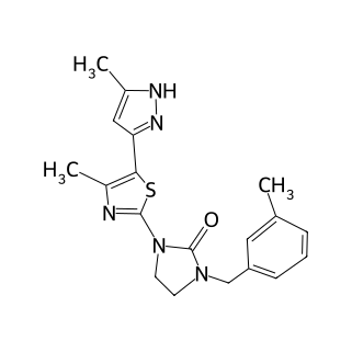 Cc1cccc(CN2CCN(c3nc(C)c(-c4cc(C)[nH]n4)s3)C2=O)c1